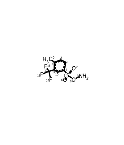 Cc1ccc(S(=O)(=O)ON)cc1C(F)(F)F